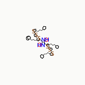 O=C1NC(c2cc(CCCc3ccccc3)c(-c3ccc(-c4sccc4CCCc4ccccc4)s3)s2)=C2C(=O)NC(c3cc(CCCc4ccccc4)c(-c4ccc(-c5sccc5CCCc5ccccc5)s4)s3)=C12